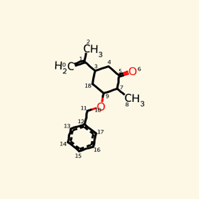 C=C(C)C1CC(=O)C(C)C(OCc2ccccc2)C1